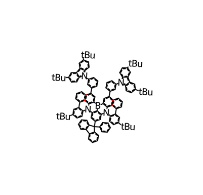 CC(C)(C)c1ccc(N2c3ccc(-c4cccc(-n5c6ccc(C(C)(C)C)cc6c6cc(C(C)(C)C)ccc65)c4)cc3B3c4cc(-c5cccc(-n6c7ccc(C(C)(C)C)cc7c7cc(C(C)(C)C)ccc76)c5)ccc4N(c4ccc(C(C)(C)C)cc4-c4ccccc4)c4cc(C5(c6ccccc6)c6ccccc6-c6ccccc65)cc2c43)c(-c2ccccc2)c1